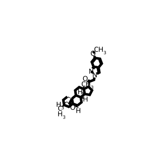 COc1ccc2cn(CC(=O)[C@H]3CC[C@H]4[C@@H]5C[C@H]6O[C@H](C)[C@@]7(CC[C@H](C)CC67)C5CC[C@]34C)nc2c1